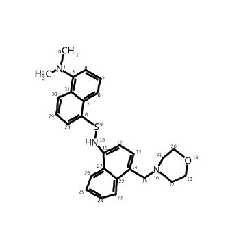 CN(C)c1cccc2c(SNc3ccc(CN4CCOCC4)c4ccccc34)cccc12